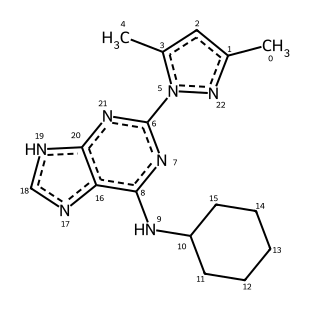 Cc1cc(C)n(-c2nc(NC3CCCCC3)c3nc[nH]c3n2)n1